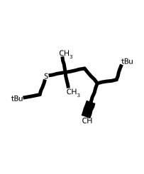 C#CC(CC(C)(C)C)CC(C)(C)SCC(C)(C)C